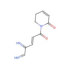 N=CC(=N)/C=C/C(=O)N1CCC=CC1=O